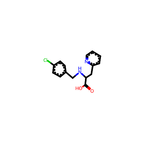 O=C(O)C(Cc1ccccn1)NCc1ccc(Cl)cc1